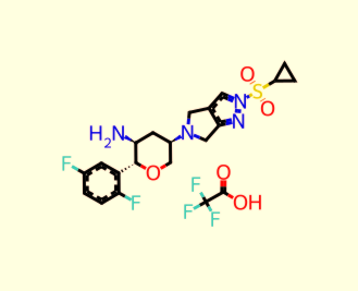 N[C@H]1C[C@@H](N2Cc3cn(S(=O)(=O)C4CC4)nc3C2)CO[C@@H]1c1cc(F)ccc1F.O=C(O)C(F)(F)F